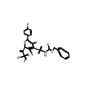 C=C(c1nc(-c2ccc(F)cc2)c(F)c(C(C)(C)NC(=O)OCc2ccccc2)c1F)C(F)(F)F